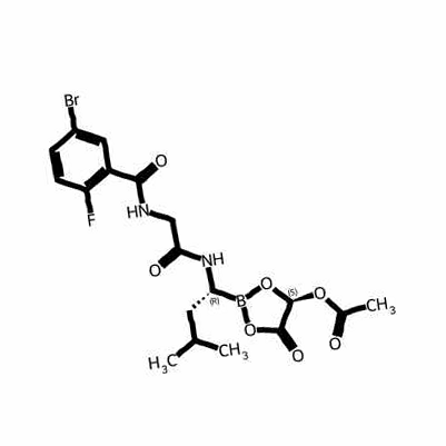 CC(=O)O[C@@H]1OB([C@H](CC(C)C)NC(=O)CNC(=O)c2cc(Br)ccc2F)OC1=O